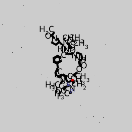 C=CC(=O)N1CCC(C(=O)N(C)[C@H](C(=O)N[C@H]2Cc3cccc(c3)-c3ccc4c(c3)c(c(/C(C=C)=C(/N=C\C)[C@H](C)OC(F)F)n4CC)CC(C)(C)COC(=O)[C@@H]3CCCN(N3)C2=O)C(C)C)C1